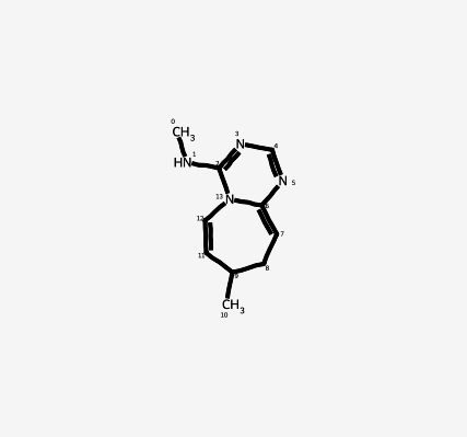 CNC1=NC=NC2=CCC(C)C=CN21